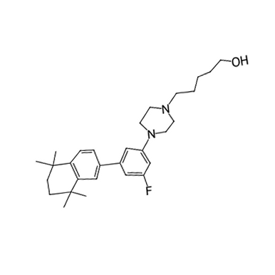 CC1(C)CCC(C)(C)c2cc(-c3cc(F)cc(N4CCN(CCCCCO)CC4)c3)ccc21